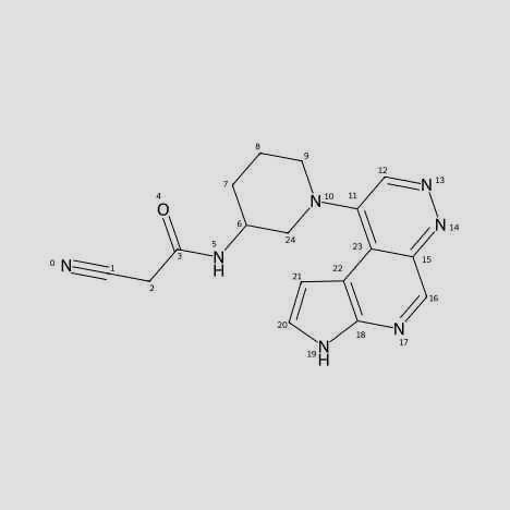 N#CCC(=O)NC1CCCN(c2cnnc3cnc4[nH]ccc4c23)C1